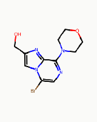 OCc1cn2c(Br)cnc(N3CCOCC3)c2n1